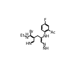 CCN/C(Br)=C(\C=N)C/C(=C/N=N)Nc1ccc(F)cc1C(C)=O